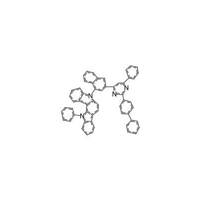 c1ccc(-c2ccc(-c3nc(-c4ccccc4)cc(-c4cc(-n5c6ccccc6c6c5ccc5c7ccccc7n(-c7ccccc7)c56)c5ccccc5c4)n3)cc2)cc1